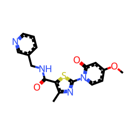 COc1ccn(-c2nc(C)c(C(=O)NCc3cccnc3)s2)c(=O)c1